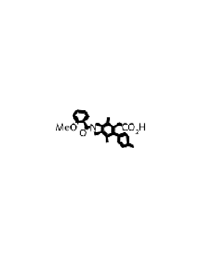 COc1ccccc1C(=O)N1Cc2c(C)c(CC(=O)O)c(-c3ccc(C)cc3)c(C)c2C1